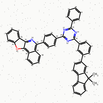 CC1(C)c2ccccc2-c2ccc(-c3cccc(-c4nc(-c5ccccc5)nc(-c5ccc(-c6nc7c8ccccc8oc7c7ccccc67)cc5)n4)c3)cc21